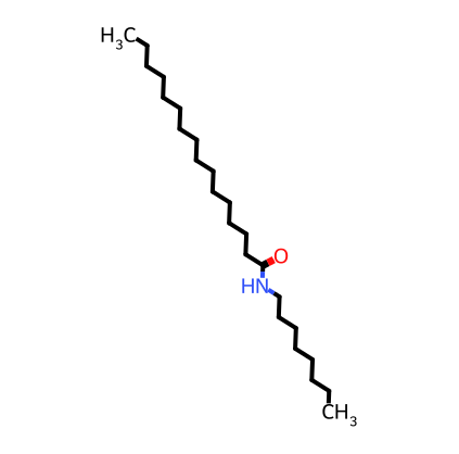 CCCCCCCCCCCCCCCC(=O)NCCCCCCCC